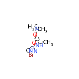 CCCC(NC(=O)/C(C#N)=C/c1cccc(Br)n1)c1ccc(OCCN(C)C)cc1